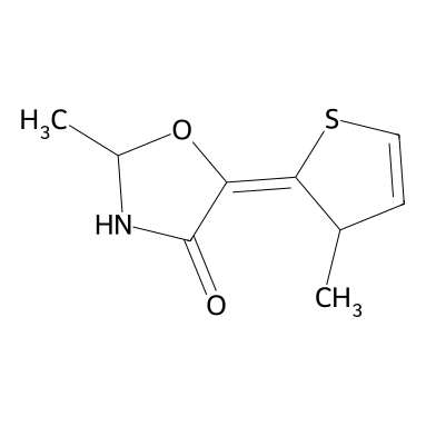 CC1NC(=O)C(=C2SC=CC2C)O1